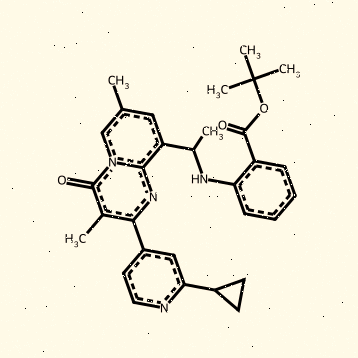 Cc1cc(C(C)Nc2ccccc2C(=O)OC(C)(C)C)c2nc(-c3ccnc(C4CC4)c3)c(C)c(=O)n2c1